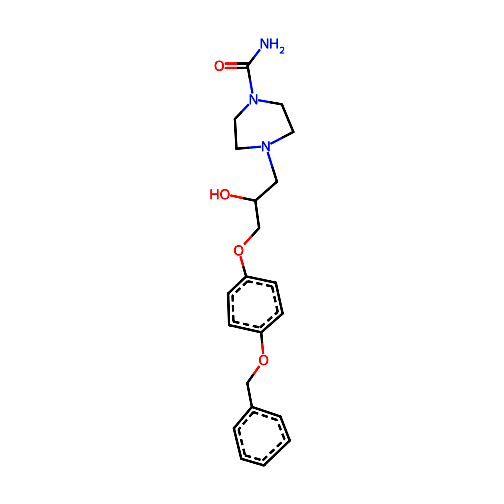 NC(=O)N1CCN(CC(O)COc2ccc(OCc3ccccc3)cc2)CC1